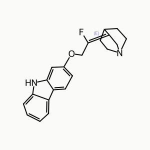 F/C(COc1ccc2c(c1)[nH]c1ccccc12)=C1/CN2CCC1CC2